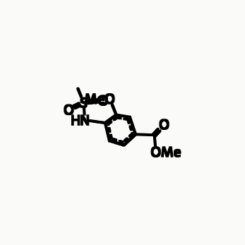 COC(=O)c1ccc(NS(C)(=O)=O)c(OC)c1